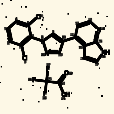 Clc1cccc(Cl)c1-n1cc(-c2ccnc3[nH]ccc23)cn1.O=C(O)C(F)(F)F